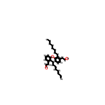 CCCCCCCCc1c(CC=O)cccc1Oc1cccc(CC=O)c1CCCCCCCC